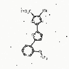 CCOC(=O)c1sc(-c2ccc(-c3ccccc3OC(F)(F)F)s2)nc1C(C)(C)C